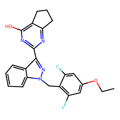 CCOc1cc(F)c(Cn2nc(-c3nc(O)c4c(n3)CCC4)c3ccccc32)c(F)c1